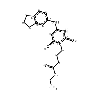 CCOC(=O)CCCn1c(=O)cc(Nc2ccc3c(c2)CCC3)[nH]c1=O